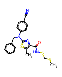 CSCSNC(=O)c1nc(N(Cc2ccccc2)c2ccc(C#N)cc2)sc1C